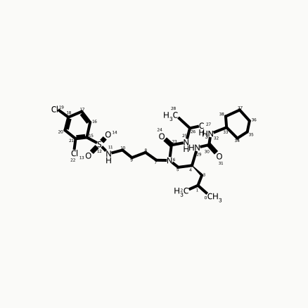 CC(C)C[C@@H](CN(CCCCNS(=O)(=O)c1ccc(Cl)cc1Cl)C(=O)NC(C)C)NC(=O)NC1CCCCC1